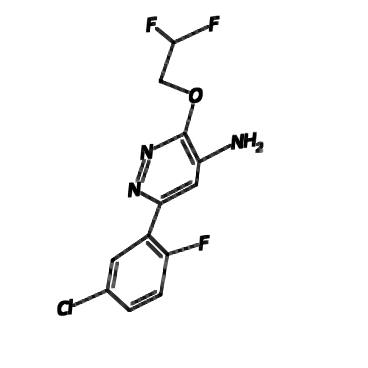 Nc1cc(-c2cc(Cl)ccc2F)nnc1OCC(F)F